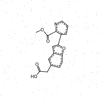 COC(=O)c1ncccc1-c1cc2cc(CC(=O)O)ccc2o1